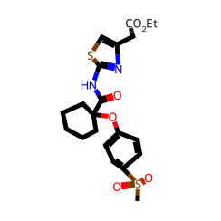 CCOC(=O)Cc1csc(NC(=O)C2(Oc3ccc(S(C)(=O)=O)cc3)CCCCC2)n1